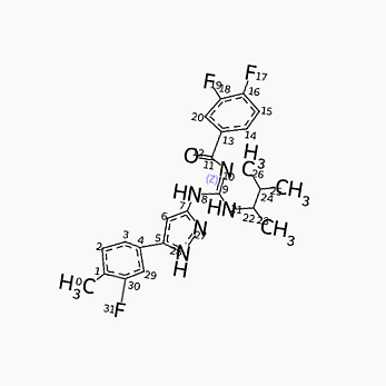 Cc1ccc(-c2cc(N/C(=N\C(=O)c3ccc(F)c(F)c3)NC(C)C(C)C)n[nH]2)cc1F